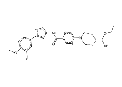 CCOC(O)C1CCN(c2cnc(C(=O)Nc3nc(-c4ccc(OC)c(F)c4)cs3)cn2)CC1